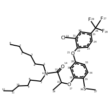 CCCCCCN(CCCCCC)C(=O)C(C)Oc1cc(Oc2ccc(C(F)(F)F)cc2Cl)ccc1SC